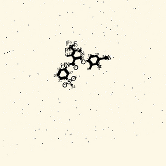 Cc1c(Oc2nnc(C(F)(F)F)c(C)c2C(=O)Nc2cccc(S(C)(=O)=O)c2)ccc(C#N)c1F